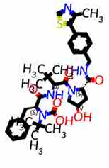 Cc1ncsc1-c1ccc(CNC(=O)[C@@H]2C[C@@H](O)CN2C(=O)[C@@H](NC(=O)[C@H](Cc2ccccc2)N(C(=O)O)C(C)(C)C)C(C)(C)C)cc1